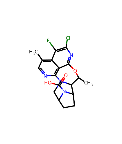 Cc1cnc2c3c(nc(Cl)c(F)c13)OC(C)C1C3CCC(CN21)N3C(=O)O